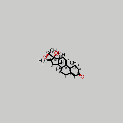 C=C1C[C@H]2[C@@H]3CCC4=CC(=O)CC[C@]4(C)C3=CC[C@]2(C)C1(O)C(C)=O